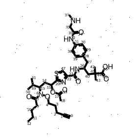 C#CCCCON(C(=O)CCCC)C(CC(OC(C)=O)c1nc(C(=O)NC(Cc2ccc(NC(=O)CNC)cc2)CC(C)(C)C(=O)O)cs1)C(C)C